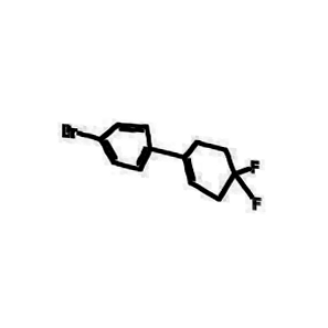 FC1(F)CC=C(c2ccc(Br)cc2)CC1